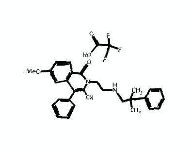 COc1ccc2c(=O)n(CCNCC(C)(C)c3ccccc3)c(C#N)c(-c3ccccc3)c2c1.O=C(O)C(F)(F)F